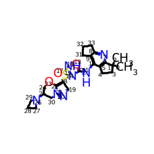 CC1(C)CCc2c1nc1c(c2NC(=O)N=S(N)(=O)c2cnn3c2OCC(N2CCC2)C3)CCC1